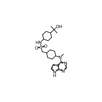 CN(c1ncnc2[nH]ccc12)C1CCC(CS(=O)(=O)NC2CCC(C(C)(C)O)CC2)CC1